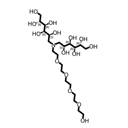 OCCOCCOCCOCCOCCN(C[C@H](O)[C@@H](O)[C@H](O)[C@H](O)CO)C[C@H](O)[C@@H](O)[C@H](O)[C@H](O)CO